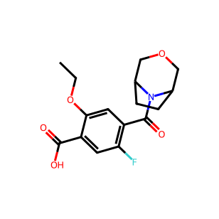 CCOc1cc(C(=O)N2C3CCC2COC3)c(F)cc1C(=O)O